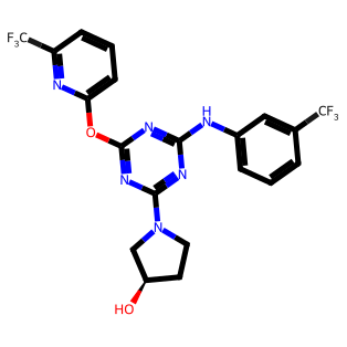 O[C@@H]1CCN(c2nc(Nc3cccc(C(F)(F)F)c3)nc(Oc3cccc(C(F)(F)F)n3)n2)C1